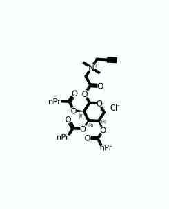 C#CC[N+](C)(C)CC(=O)OC1OC[C@@H](OC(=O)CCC)[C@@H](OC(=O)CCC)[C@H]1OC(=O)CCC.[Cl-]